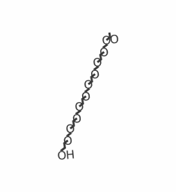 CC(=O)OCCOCCOCCOCCOCCOCCOCCOCCOCCOCCCO